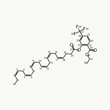 CC/C=C\C/C=C\C/C=C\C/C=C\C/C=C\C/C=C\CCC(=O)Oc1cc(C(F)(F)F)ccc1C(=O)OCC